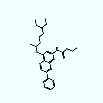 CCOC(=O)Nc1cc(NC(C)CCCN(CC)CC)c2ncc(-c3ccccc3)nc2n1